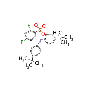 CC(C)(C)c1ccc([I+]c2ccc(C(C)(C)C)cc2)cc1.O=S(=O)([O-])c1ccc(F)cc1F